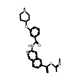 C=C(S/C(C)=N\C)c1ccc2cnc(NC(=O)c3cccc(OC4CCN(C)CC4)c3)cc2c1